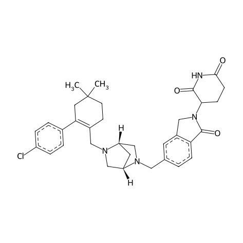 CC1(C)CCC(CN2C[C@@H]3C[C@H]2CN3Cc2ccc3c(c2)CN(C2CCC(=O)NC2=O)C3=O)=C(c2ccc(Cl)cc2)C1